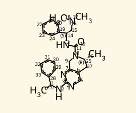 C[C@H](Nc1ncc2c(n1)CN(C(=O)N[C@H](CN(C)C)c1ccccc1)[C@H](C)C2)c1ccccc1